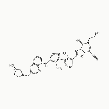 Cc1c(Nc2nccc3cc(CN4CC[C@@H](O)C4)cnc23)cccc1-c1cccc(C2=NC3C(=N)N(CCO)C=C(C#N)C3O2)c1C